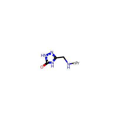 CCCNCc1n[nH]c(=O)[nH]1